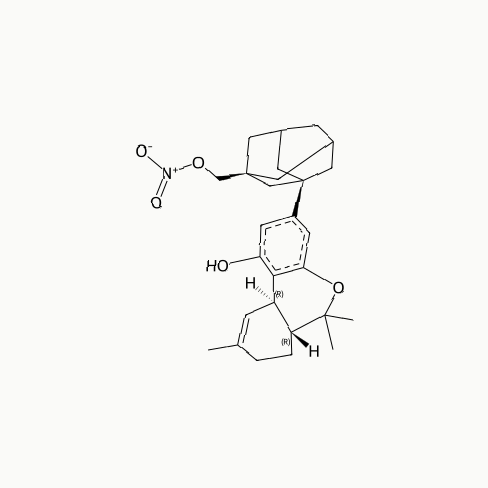 CC1=C[C@H]2c3c(O)cc([C@]45CC6CC(C[C@@](CO[N+](=O)[O-])(C6)C4)C5)cc3OC(C)(C)[C@@H]2CC1